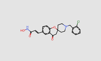 O=C(/C=C/c1ccc2c(c1)C(=O)CC1(CCN(Cc3ccccc3Cl)CC1)O2)NO